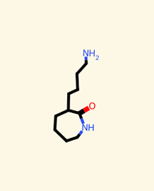 NCCCCC1CCCCNC1=O